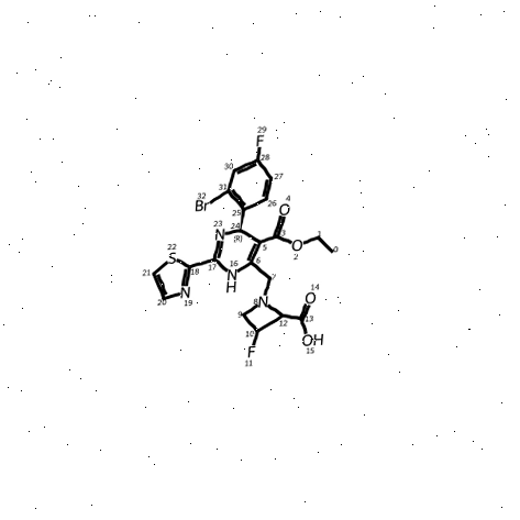 CCOC(=O)C1=C(CN2CC(F)C2C(=O)O)NC(c2nccs2)=N[C@H]1c1ccc(F)cc1Br